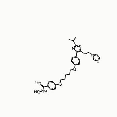 CC(C)c1nc(-c2ccc(OCCCCCOc3ccc(C(=N)NO)cc3)cc2)c(CCn2ccnc2)s1